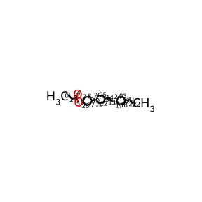 CCCC(=O)OC1CCC(C2CCC(CC[C@H]3CC[C@H](CCC)CC3)CC2)CC1